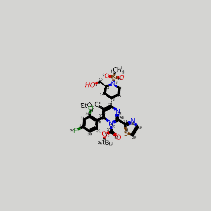 CCOC(=O)C1=C([C@H]2CCN(S(C)(=O)=O)[C@H](CO)C2)N=C(c2nccs2)N(C(=O)OC(C)(C)C)C1c1ccc(F)cc1Cl